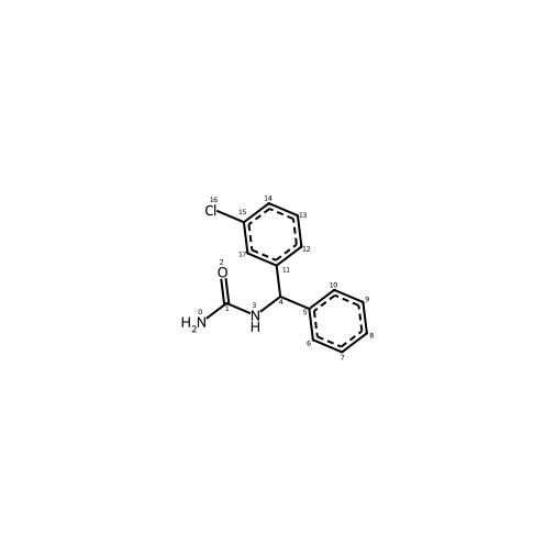 NC(=O)NC(c1ccccc1)c1cccc(Cl)c1